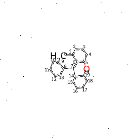 C=c1cccc2c1=C(c1ccccc1)c1ccccc1O2